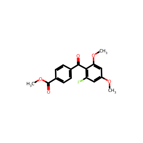 COC(=O)c1ccc(C(=O)c2c(F)cc(OC)cc2OC)cc1